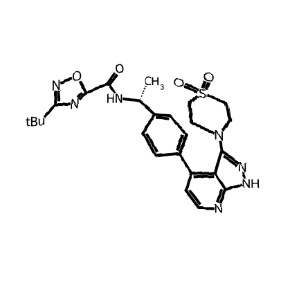 C[C@@H](NC(=O)c1nc(C(C)(C)C)no1)c1ccc(-c2ccnc3[nH]nc(N4CCS(=O)(=O)CC4)c23)cc1